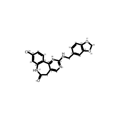 O=C1Cc2cnc(NCc3ccc4c(c3)OCO4)nc2-c2ccc(Cl)cc2N1